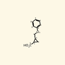 O=C(O)C1CC1COc1ccccc1